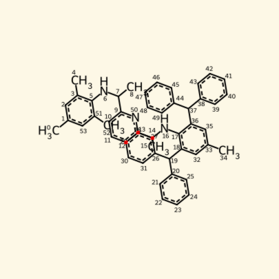 Cc1cc(C)c(NC(C)c2cccc(C(C)Nc3c(C(c4ccccc4)c4ccccc4)cc(C)cc3C(c3ccccc3)c3ccccc3)n2)c(C)c1